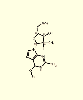 CCOC1NC(N)=Nc2c1ncn2[C@@H]1O[C@H](COC)[C@@H](O)[C@@]1(C)F